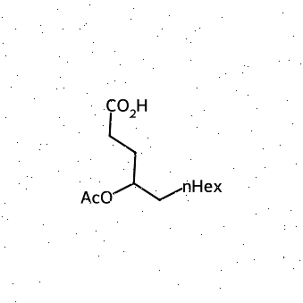 CCCCCCCC(CCC(=O)O)OC(C)=O